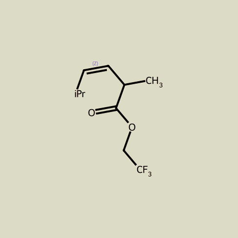 CC(C)/C=C\C(C)C(=O)OCC(F)(F)F